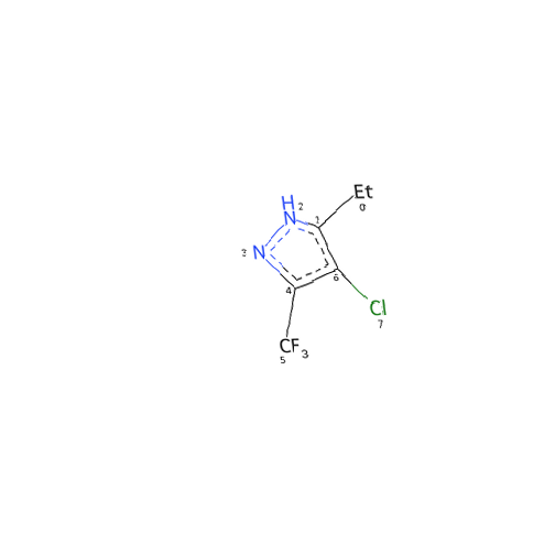 CCc1[nH]nc(C(F)(F)F)c1Cl